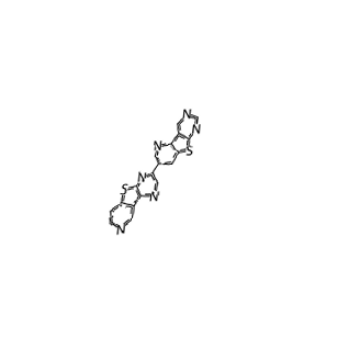 c1cc2sc3nc(-c4cnc5c(c4)sc4ncncc45)cnc3c2cn1